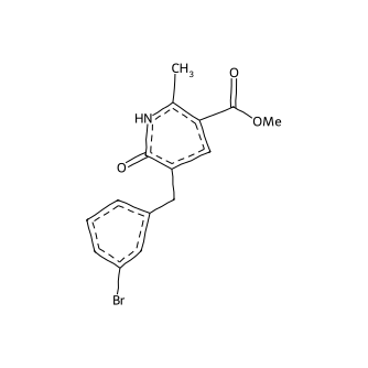 COC(=O)c1cc(Cc2cccc(Br)c2)c(=O)[nH]c1C